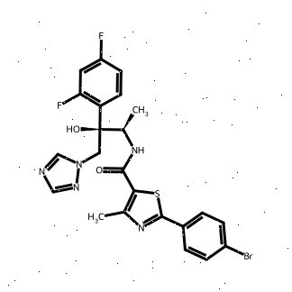 Cc1nc(-c2ccc(Br)cc2)sc1C(=O)N[C@H](C)[C@](O)(Cn1cncn1)c1ccc(F)cc1F